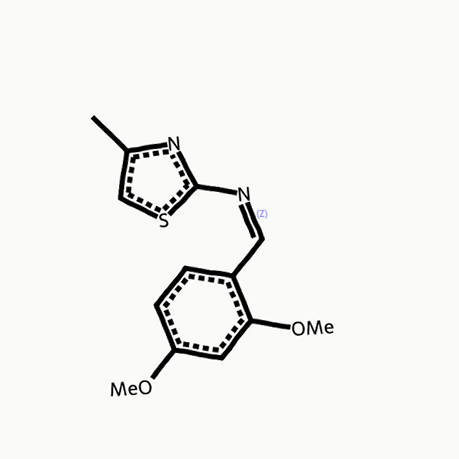 COc1ccc(/C=N\c2nc(C)cs2)c(OC)c1